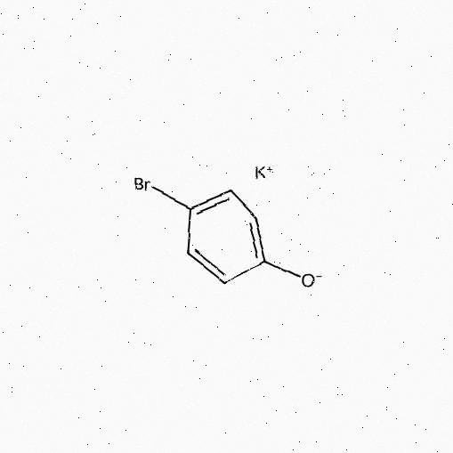 [K+].[O-]c1ccc(Br)cc1